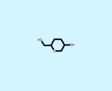 OCC1CCC(O)CO1